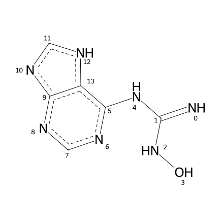 N=C(NO)Nc1ncnc2nc[nH]c12